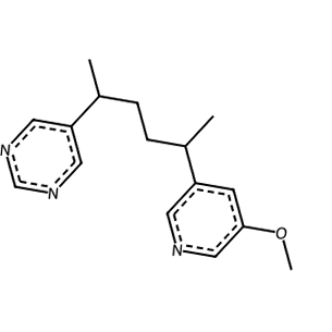 COc1cncc(C(C)CCC(C)c2cncnc2)c1